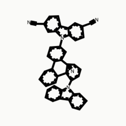 N#Cc1ccc2c(c1)c1ccc(C#N)cc1n2-c1ccc(-c2ccccc2-c2ccccc2-n2c3ccccc3c3ccccc32)c(C#N)c1